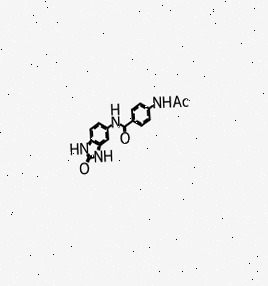 CC(=O)Nc1ccc(C(=O)Nc2ccc3[nH]c(=O)[nH]c3c2)cc1